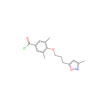 Cc1cc(CCCOc2c(C)cc(C(=O)Cl)cc2C)on1